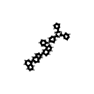 c1ccc(-c2nc(-c3ccccc3)nc(-c3ccc(-n4c5ccccc5c5c6cc(-c7ccc8cc(-c9cccc%10ccccc9%10)ccc8c7)ccc6ccc54)cc3)n2)cc1